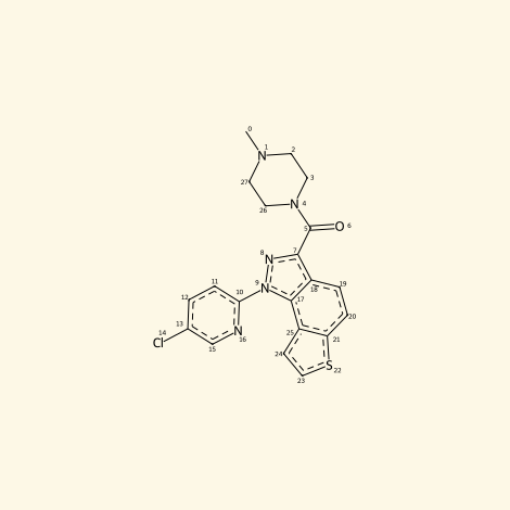 CN1CCN(C(=O)c2nn(-c3ccc(Cl)cn3)c3c2ccc2sccc23)CC1